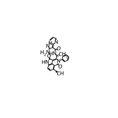 C#Cc1ccc2c3c(c([C@@H](C)NC(=O)c4c(N)nn5cccnc45)n(-c4ccccc4)c(=O)c13)C(=O)N2